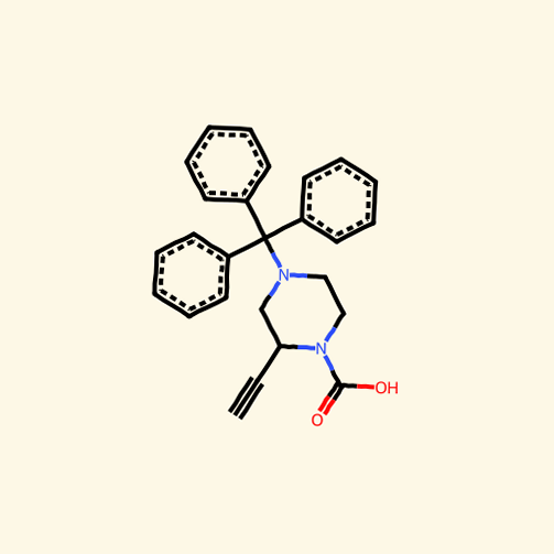 C#CC1CN(C(c2ccccc2)(c2ccccc2)c2ccccc2)CCN1C(=O)O